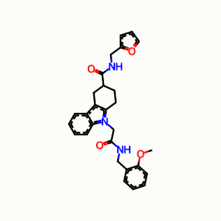 COc1ccccc1CNC(=O)Cn1c2c(c3ccccc31)CC(C(=O)NCc1ccco1)CC2